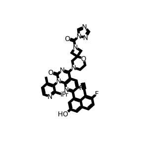 C#Cc1c(F)ccc2cc(O)cc(-c3nc4c(cc3F)c(N3CCOC5(CN(C(=O)n6cncn6)C5)C3)nc(=O)n4-c3c(C)ccnc3C(C)C)c12